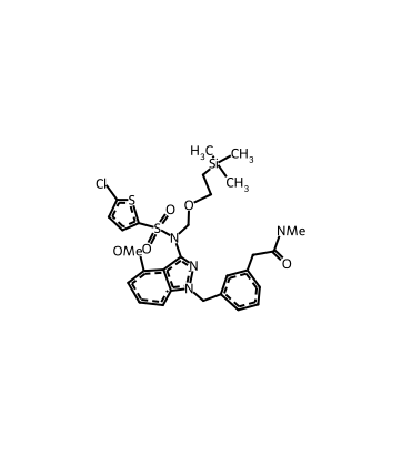 CNC(=O)Cc1cccc(Cn2nc(N(COCC[Si](C)(C)C)S(=O)(=O)c3ccc(Cl)s3)c3c(OC)cccc32)c1